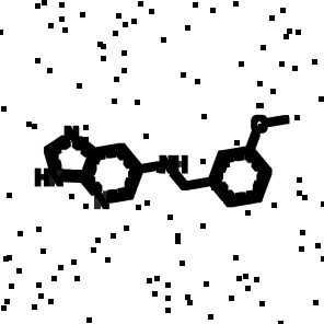 COc1cccc(CNc2cnc3[nH]cnc3c2)c1